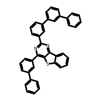 c1ccc(-c2cccc(-c3cccc(-c4nc(-c5cccc(-c6ccccc6)c5)c5sc6ccccc6c5n4)c3)c2)cc1